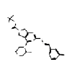 Cc1cccc(/C=N/Nc2nc3c(c(N4CCOC[C@@H]4C)n2)CN(C(=O)OC(C)(C)C)C3)c1